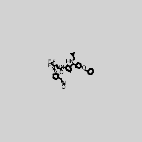 O=NCCc1cccc(-n2nc(C(F)(F)F)cc2C(=O)Nc2cccc(C(NCC3CC3)c3ccc(OCc4ccccc4)cc3)c2)c1